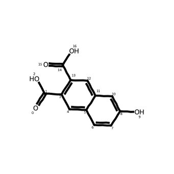 O=C(O)c1cc2ccc(O)cc2cc1C(=O)O